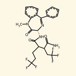 CN1C(=O)[C@@H](NC(=O)C(CCC(F)(F)F)C(CC(F)(F)F)C(N)=O)N=C(c2ccccc2)c2ccccc21